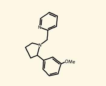 COc1cccc(C2CCCN2Cc2ccccn2)c1